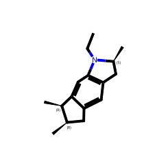 CCN1c2cc3c(cc2C[C@@H]1C)C[C@@H](C)[C@H]3C